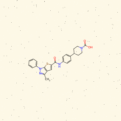 Cc1nn(-c2ccccc2)c2sc(C(=O)Nc3ccc(C4CCN(C(=O)O)CC4)cc3)cc12